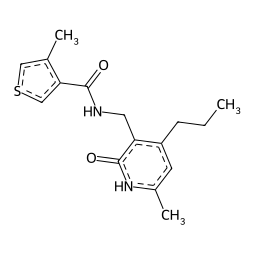 CCCc1cc(C)[nH]c(=O)c1CNC(=O)c1cscc1C